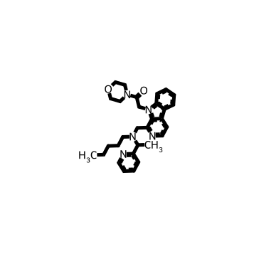 CCCCCN(Cc1nccc2c3ccccc3n(CC(=O)N3CCOCC3)c12)C(C)c1ccccn1